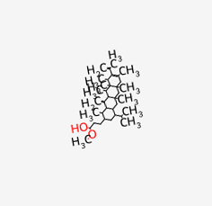 C=C(C)C1=C(C)CC2(C)CC3(C)CC4C(C(C)C)CC(CCC(O)OC)C(C)C4C(=C)C3C(C)C2(C)C1C